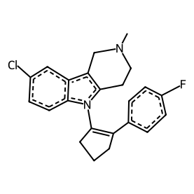 CN1CCc2c(c3cc(Cl)ccc3n2C2=C(c3ccc(F)cc3)CCC2)C1